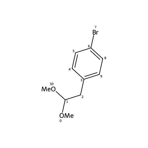 COC(Cc1ccc(Br)cc1)OC